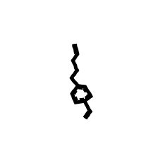 C=CCCCc1ccc(C=C)cc1